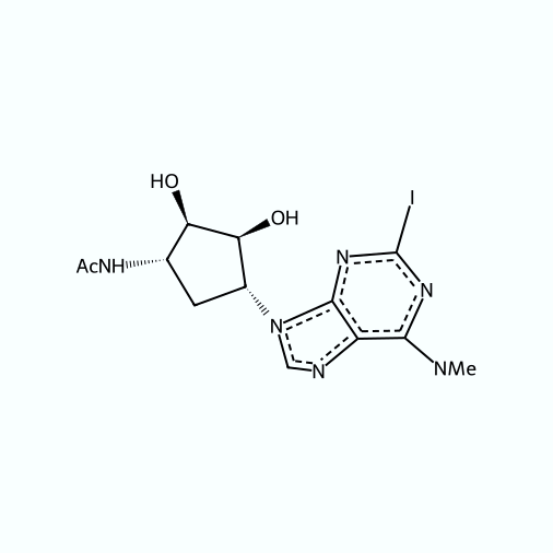 CNc1nc(I)nc2c1ncn2[C@@H]1C[C@H](NC(C)=O)[C@@H](O)[C@H]1O